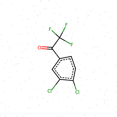 O=C(c1ccc(Cl)c(Cl)c1)C(F)(F)F